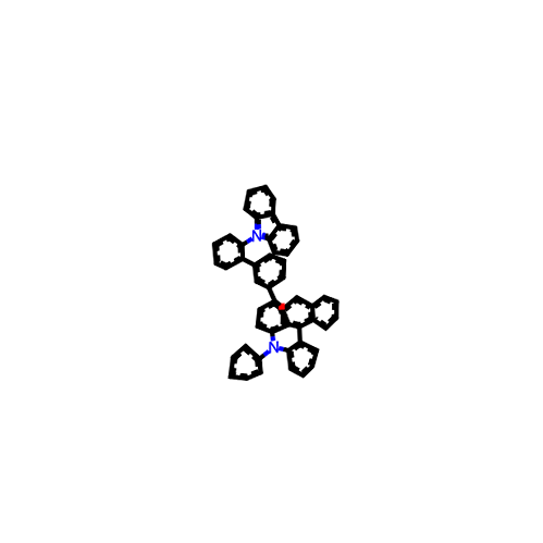 c1ccc(N(c2ccc(-c3cccc(-c4ccccc4-n4c5ccccc5c5ccccc54)c3)cc2)c2ccccc2-c2cccc3ccccc23)cc1